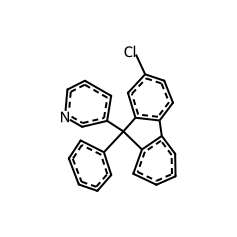 Clc1ccc2c(c1)C(c1ccccc1)(c1cccnc1)c1ccccc1-2